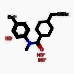 CC(=O)NCC1CCC(C(=O)N(C)c2cc[c]([Ge+3])cc2)CC1.[OH-].[OH-].[OH-]